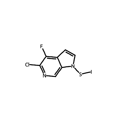 Fc1c(Cl)ncc2c1ccn2SI